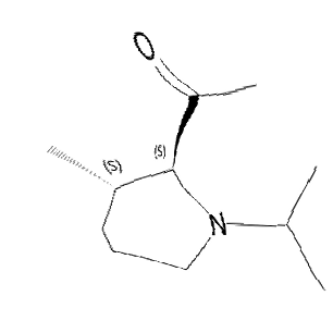 CC(=O)[C@@H]1[C@@H](C)CCN1C(C)C